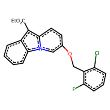 CCOC(=O)c1c2ccccc2n2cc(OCc3c(F)cccc3Cl)ccc12